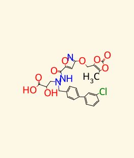 Cc1oc(=O)oc1COc1cc(C(=O)NN(Cc2ccc(-c3cccc(Cl)c3)cc2)CC(O)C(=O)O)on1